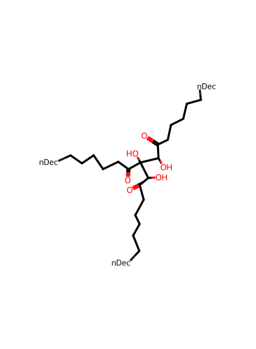 CCCCCCCCCCCCCCCC(=O)C(O)C(O)(C(=O)CCCCCCCCCCCCCCC)C(O)C(=O)CCCCCCCCCCCCCCC